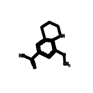 COc1cc(C(=O)O)cc2c1NCCC2